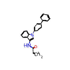 C=CC(=O)Nc1cn(-c2ccc(-c3ccccc3)cc2)c2ccccc12